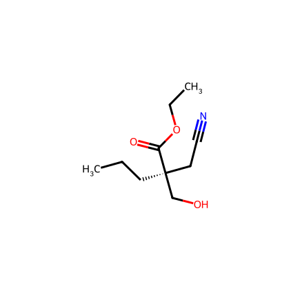 CCC[C@@](CO)(CC#N)C(=O)OCC